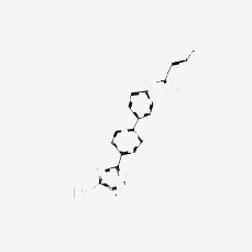 CC=CC(=O)Oc1ccc(-c2ccc(-c3nnc(CCC)s3)cc2)cc1